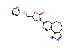 O=C1OC(COc2ccon2)CN1c1ccc2c(c1)CCCc1cn[nH]c1-2